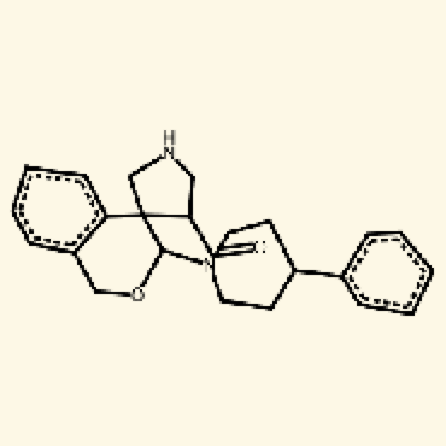 O=CC1CNCC12c1ccccc1COC2N1CCC(c2ccccc2)CC1